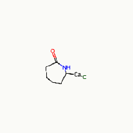 O=C1CCCC[CH]([Ca][Cl])N1